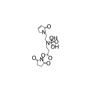 O=C(CCN(CCN1CC=CC1=O)P(=O)(O)O)ON1C(=O)CCC1=O